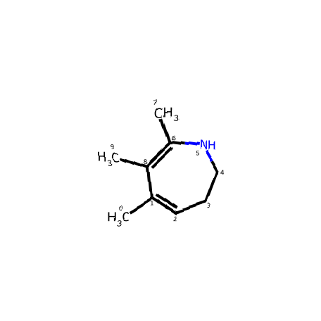 CC1=CCCNC(C)=C1C